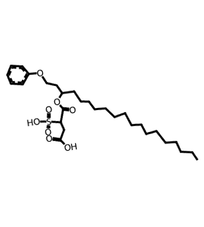 CCCCCCCCCCCCCCCCC(CCOc1ccccc1)OC(=O)C(CC(=O)O)S(=O)(=O)O